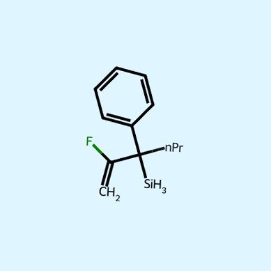 C=C(F)C([SiH3])(CCC)c1ccccc1